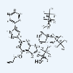 C=CCOc1nc(-n2cc(-c3ccccc3)nn2)nc2c1ncn2[C@@H]1O[C@H](CO[Si](C)(C)C(C)(C)C)C(O[Si](C)(C)C(C)(C)C)[C@@H]1CC(C)(C)[Si](C)(C)O